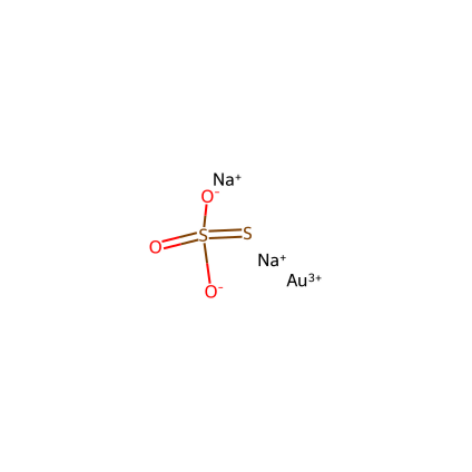 O=S([O-])([O-])=S.[Au+3].[Na+].[Na+]